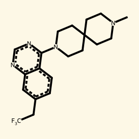 CN1CCC2(CC1)CCN(c1ncnc3cc(CC(F)(F)F)ccc13)CC2